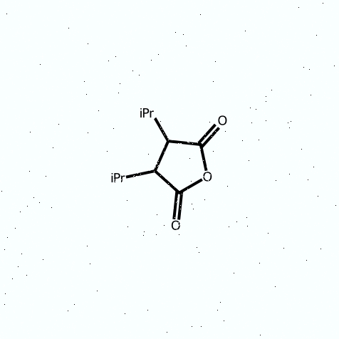 CC(C)C1C(=O)OC(=O)C1C(C)C